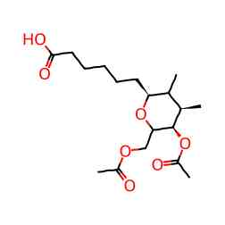 CC(=O)OCC1O[C@@H](CCCCCC(=O)O)C(C)[C@@H](C)[C@H]1OC(C)=O